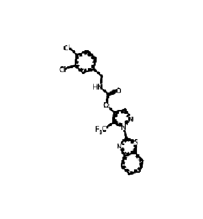 O=C(NCc1ccc(Cl)c(Cl)c1)Oc1cnn(-c2nc3ccccc3s2)c1C(F)(F)F